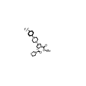 CC(C)(C)OC(=O)N1C[C@@H](N2CCN(c3ccc(C(F)(F)F)cc3)CC2)C[C@H]1C(=O)N1CCSC1